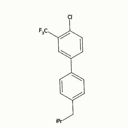 CC(C)Cc1ccc(-c2ccc(Cl)c(C(F)(F)F)c2)cc1